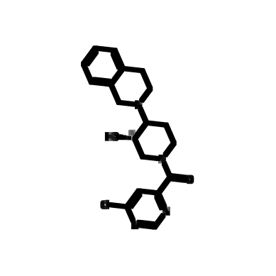 O=C(c1cc(Cl)ncn1)N1CCC(N2CCc3ccccc3C2)[C@@H](O)C1